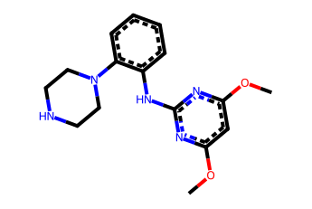 COc1cc(OC)nc(Nc2ccccc2N2CCNCC2)n1